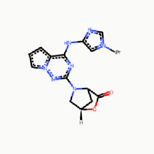 CC(C)n1cnc(Nc2nc(N3C[C@@H]4CC3C(=O)O4)nn3cccc23)c1